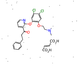 CN(C)CCOc1cc(Cl)c(Cl)cc1Oc1ncccc1C(=O)CCc1ccccc1.O=C(O)C=CC(=O)O